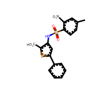 Cc1ccc(S(=O)(=O)Nc2cc(-c3ccccc3)sc2C(=O)O)c([N+](=O)[O-])c1